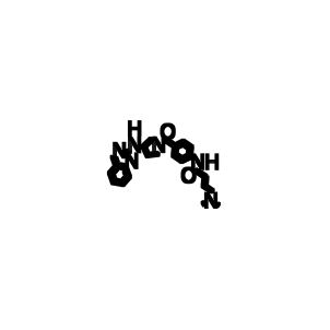 CN(C)C/C=C/C(=O)Nc1ccc(C(=O)N2CC[C@H](Nc3ncc4ccccc4n3)C2)cc1